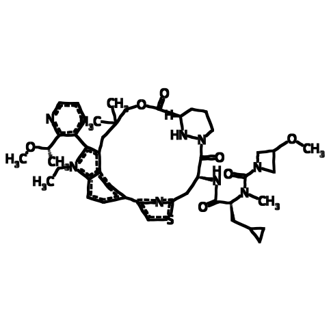 CCn1c(-c2cccnc2[C@H](C)OC)c2c3cc(ccc31)-c1csc(n1)C[C@H](NC(=O)[C@H](CC1CC1)N(C)C(=O)N1CC(OC)C1)C(=O)N1CCC[C@H](N1)C(=O)OCC(C)(C)C2